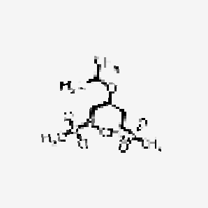 CC(C)O[C@@H](CCS(C)(=O)=O)CN(C)S(C)(=O)=O